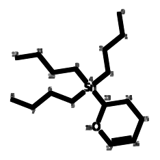 CCC[CH2][Sn]([CH2]CCC)([CH2]CCC)[CH]1CCC=CO1